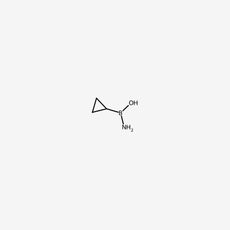 NB(O)C1CC1